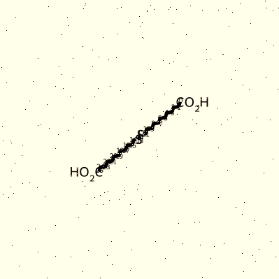 O=C(O)CCCCCCCCCCCSSCCCCCCCCCCCC(=O)O